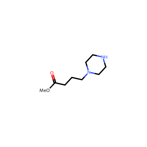 COC(=O)CCCN1CCNCC1